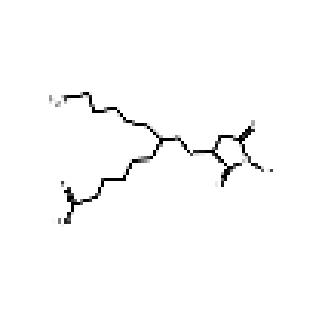 CCN1C(=O)CC(SCC(CCCCCN)CCCCCC(N)=O)C1=O